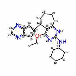 CCOc1nc(NC2CCCCC2)nc2c1C(c1ccc3nccnc3c1)=CCCC2